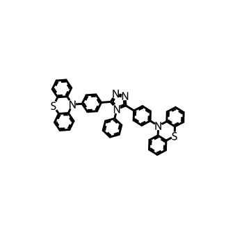 c1ccc(-n2c(-c3ccc(N4c5ccccc5Sc5ccccc54)cc3)nnc2-c2ccc(N3c4ccccc4Sc4ccccc43)cc2)cc1